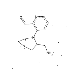 NCC1CC2CC2N1c1cccnc1C=O